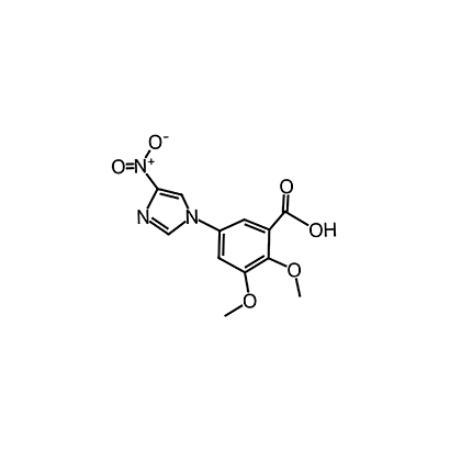 COc1cc(-n2cnc([N+](=O)[O-])c2)cc(C(=O)O)c1OC